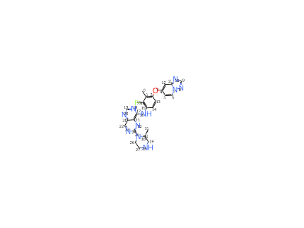 Cc1c(Oc2ccn3ncnc3c2)ccc(Nc2ncnc3cnc(N4CCNC[C@@H]4C)nc23)c1F